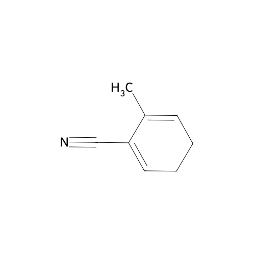 CC1=CCCC=C1C#N